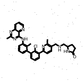 Cc1nc(Nc2cccc(-c3cccc(-c4ccc(CNCC5CCC(=O)N5)c(C)n4)c3Cl)c2C)c2ncccc2n1